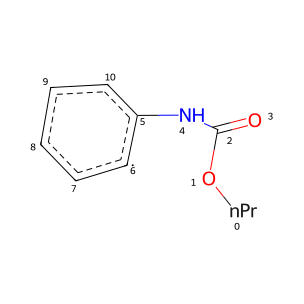 CCCOC(=O)Nc1[c]cccc1